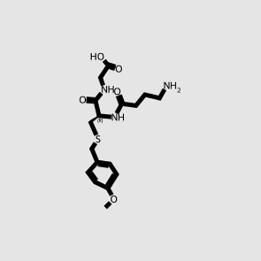 COc1ccc(CSC[C@H](NC(=O)CCCN)C(=O)NCC(=O)O)cc1